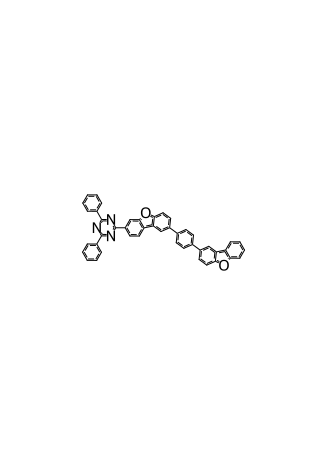 c1ccc(-c2nc(-c3ccccc3)nc(-c3ccc4c(c3)oc3ccc(-c5ccc(-c6ccc7oc8ccccc8c7c6)cc5)cc34)n2)cc1